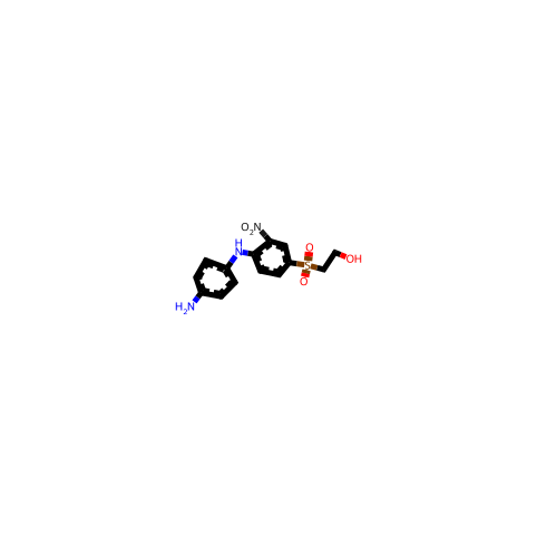 Nc1ccc(Nc2ccc(S(=O)(=O)CCO)cc2[N+](=O)[O-])cc1